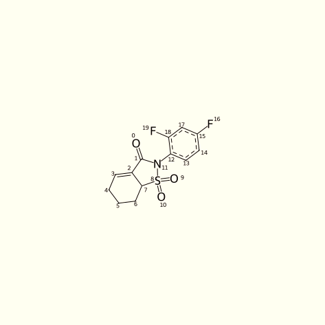 O=C1C2=CCCCC2S(=O)(=O)N1c1ccc(F)cc1F